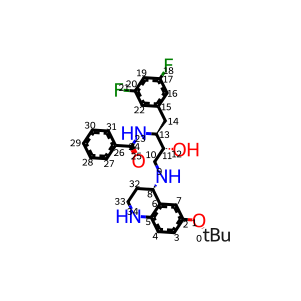 CC(C)(C)Oc1ccc2c(c1)[C@@H](NC[C@@H](O)[C@H](Cc1cc(F)cc(F)c1)NC(=O)c1ccccc1)CCN2